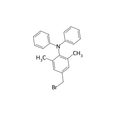 Cc1cc(CBr)cc(C)c1N(c1ccccc1)c1ccccc1